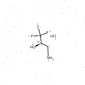 Cl.NC[C@@H](O)C(F)(F)F